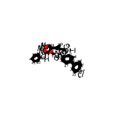 O=C(O)C1(N(CCNc2nnn[nH]2)S(=O)(=O)c2ccc(-c3ccc(Cl)cc3)cc2)CC1c1cccc(Oc2ccccc2)c1